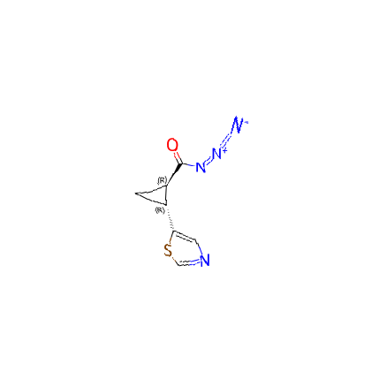 [N-]=[N+]=NC(=O)[C@@H]1C[C@H]1c1cncs1